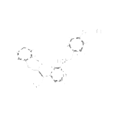 N#CC(=C1Nc2ccccc2O1)c1ccnc(NCc2ccc(C(=O)O)cc2)n1